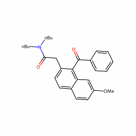 CCCCN(CCCC)C(=O)Cc1ccc2ccc(OC)cc2c1C(=O)c1ccccc1